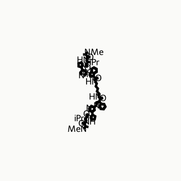 CNC(C)C(=O)NC(C(=O)N1CCCC1c1cncc(-n2cc(C(=O)NCCCCCNC(=O)c3cn(-c4cncc(C5CCCN5C(=O)C(NC(=O)C(C)NC)C(C)C)c4)c4ccccc34)c3ccccc32)c1)C(C)C